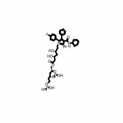 CC(C)c1c(C(=O)Nc2ccccc2)c(-c2ccccc2)c(-c2ccc(F)cc2)n1CC[C@@H](O)C[C@@H](O)CC(=O)OC[C@H](CCCCON(O)O)ON(O)O